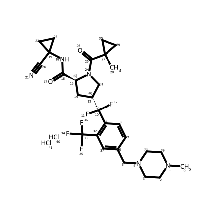 CN1CCN(Cc2ccc(C(F)(F)[C@@H]3C[C@@H](C(=O)NC4(C#N)CC4)N(C(=O)C4(C)CC4)C3)c(C(F)(F)F)c2)CC1.Cl.Cl